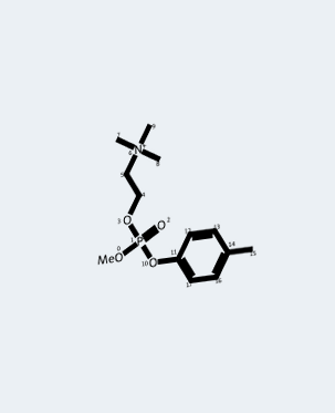 COP(=O)(OCC[N+](C)(C)C)Oc1ccc(C)cc1